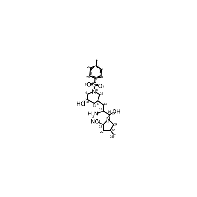 Cc1ccc(S(=O)(=O)N2CCCC(C[C@H](N)C(O)N3C[C@@H](F)C[C@H]3C#N)C2)cc1.Cl